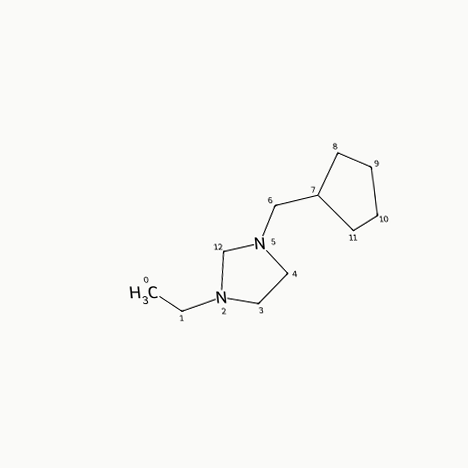 CCN1CCN(CC2CCCC2)C1